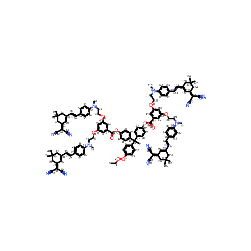 CCOOc1ccc(C(C)(c2ccc(OC(=O)c3cc(OCCN(C)c4ccc(/C=C/C5=CC(=C(C#N)C#N)CC(C)(C)C5)cc4)cc(OCCN(C)c4ccc(/C=C/C5=CC(=C(C#N)C#N)CC(C)(C)C5)cc4)c3)cc2)c2ccc(OC(=O)c3cc(OCCN(C)c4ccc(/C=C/C5=CC(=C(C#N)C#N)CC(C)(C)C5)cc4)cc(OCCN(C)c4ccc(/C=C/C5=CC(=C(C#N)C#N)CC(C)(C)C5)cc4)c3)cc2)cc1